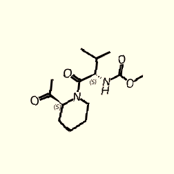 COC(=O)N[C@H](C(=O)N1CCCC[C@H]1C(C)=O)C(C)C